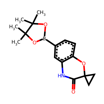 CC1(C)OB(c2ccc3c(c2)NC(=O)C2(CC2)O3)OC1(C)C